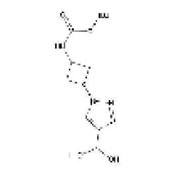 CC(O)c1cnn(C2CC(NC(=O)OC(C)(C)C)C2)c1